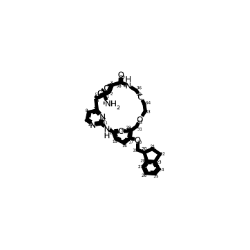 Nc1cc2ccc1-c1ccnc(n1)Nc1ccc(OCC3CCc4ccccc43)c(c1)COCCCCNC2=O